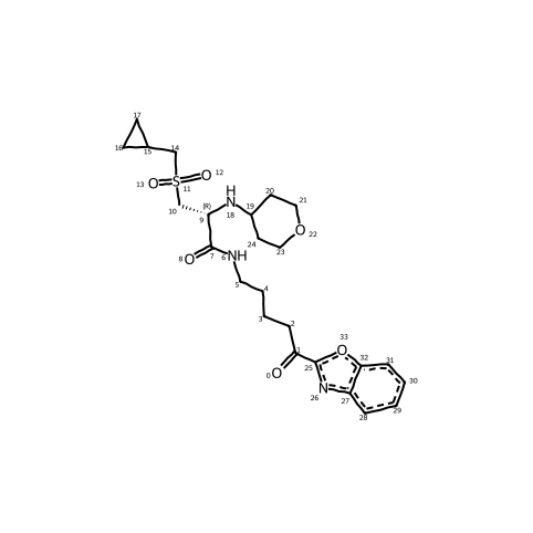 O=C(CCCCNC(=O)[C@H](CS(=O)(=O)CC1CC1)NC1CCOCC1)c1nc2ccccc2o1